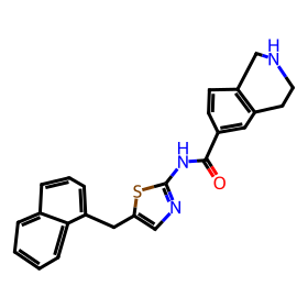 O=C(Nc1ncc(Cc2cccc3ccccc23)s1)c1ccc2c(c1)CCNC2